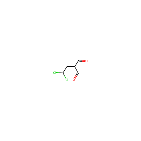 O=[C]C(C=O)CC(Cl)Cl